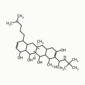 CC1C(C(O)NC(C)(C)C)=C(O)CC2C[C@]3(C)CC4C(CCCN(C)C)C=CC(O)C4C(O)[C@@H]3C(O)C21